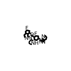 Cc1cc(F)cc2ccnc(N(C(=O)c3ccc(-n4nnc5cccnc54)cc3F)[C@@H]3CCCNC3)c12